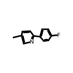 Cc1ccc(-c2ccc(F)cc2)nc1